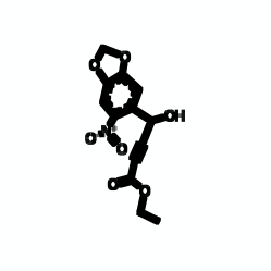 CCOC(=O)C#CC(O)c1cc2c(cc1[N+](=O)[O-])OCO2